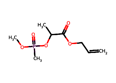 C=CCOC(=O)C(C)OP(C)(=O)OC